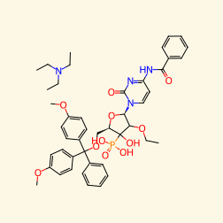 CCN(CC)CC.CCOC1[C@H](n2ccc(NC(=O)c3ccccc3)nc2=O)O[C@H](COC(c2ccccc2)(c2ccc(OC)cc2)c2ccc(OC)cc2)C1(O)P(=O)(O)O